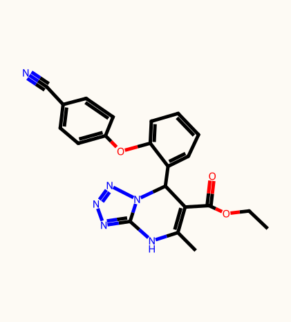 CCOC(=O)C1=C(C)Nc2nnnn2C1c1ccccc1Oc1ccc(C#N)cc1